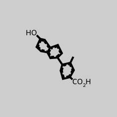 Cc1cc(C(=O)O)ccc1-c1ccc2cc(O)ccc2c1